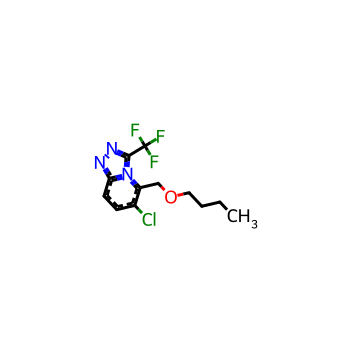 CCCCOCc1c(Cl)ccc2nnc(C(F)(F)F)n12